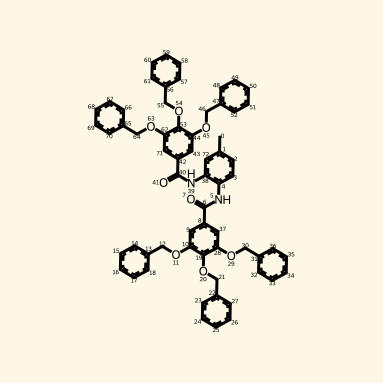 Cc1ccc(NC(=O)c2cc(OCc3ccccc3)c(OCc3ccccc3)c(OCc3ccccc3)c2)c(NC(=O)c2cc(OCc3ccccc3)c(OCc3ccccc3)c(OCc3ccccc3)c2)c1